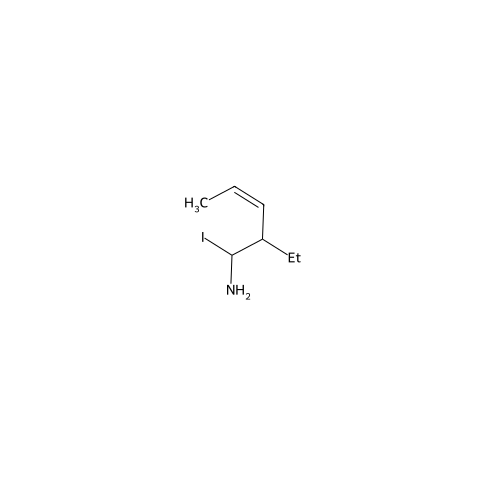 C/C=C\C(CC)C(N)I